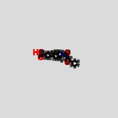 Cc1oc(-c2ccccc2)cc1C(=O)N1CC=C2C(C)(C)C(c3ccc(C(=O)O)cc3)=CC[C@]2(C)C1